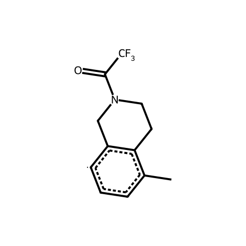 Cc1cc[c]c2c1CCN(C(=O)C(F)(F)F)C2